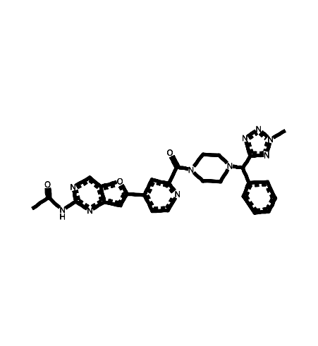 CC(=O)Nc1ncc2oc(-c3ccnc(C(=O)N4CCN(C(c5ccccc5)c5nnn(C)n5)CC4)c3)cc2n1